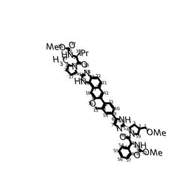 COCC1C[C@@H](c2ncc(-c3ccc4c(c3)COc3cc5c(ccc6nc([C@@H]7CC[C@H](C)N7C(=O)[C@@H](NC(=O)OC)C(C)C)[nH]c65)cc3-4)[nH]2)N(C(=O)[C@H](NC(=O)OC)c2ccccc2)C1